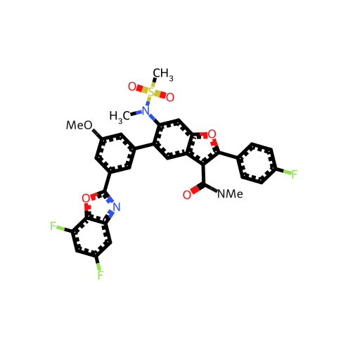 CNC(=O)c1c(-c2ccc(F)cc2)oc2cc(N(C)S(C)(=O)=O)c(-c3cc(OC)cc(-c4nc5cc(F)cc(F)c5o4)c3)cc12